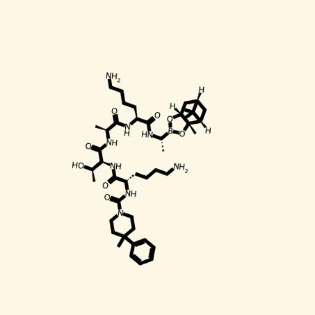 C[C@H](NC(=O)[C@H](CCCCN)NC(=O)[C@H](C)NC(=O)[C@@H](NC(=O)[C@H](CCCCN)NC(=O)N1CCC(C)(c2ccccc2)CC1)[C@@H](C)O)B1O[C@@H]2C[C@@H]3C[C@@H](C3(C)C)[C@]2(C)O1